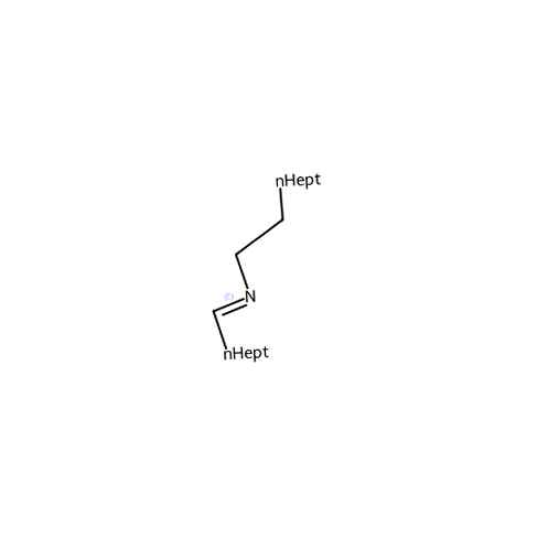 CCCCCCC/C=N/CCCCCCCCC